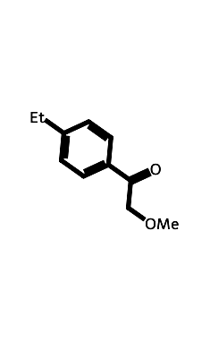 CCc1ccc(C(=O)COC)cc1